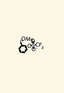 CO[I+]c1ccccc1.O=S(=O)([O-])C(F)(F)F